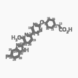 Cc1nc(-c2cnc(O[C@H]3CC[C@@H](CC(=O)O)CC3)nc2)ccc1-c1nc2cc(F)ccc2[nH]1